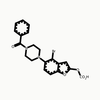 O=C(O)Oc1cc2c(Br)c(N3CCN(C(=O)c4ccccc4)CC3)ccc2o1